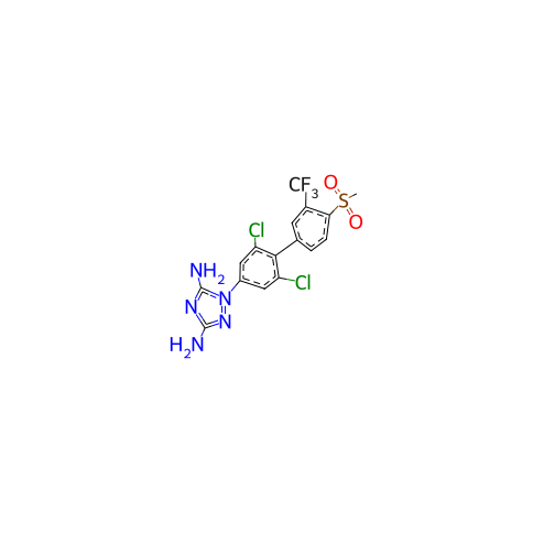 CS(=O)(=O)c1ccc(-c2c(Cl)cc(-n3nc(N)nc3N)cc2Cl)cc1C(F)(F)F